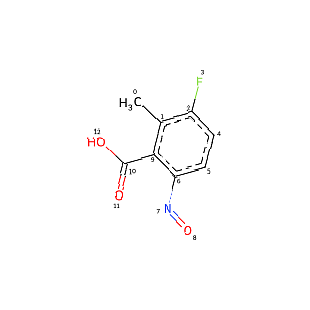 Cc1c(F)ccc(N=O)c1C(=O)O